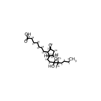 CCCCC(F)(F)C1(O)CC[C@@H]2C(CCCCCCC(=O)O)C(=O)C[C@H]2O1